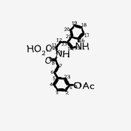 CC(=O)Oc1cccc(C=CC(=O)N[C@@H](Cc2c[nH]c3ccccc23)C(=O)O)c1